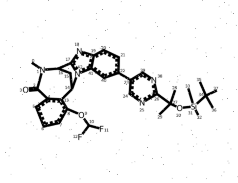 CN1C(=O)c2cccc(OC(F)F)c2C2CC1c1nc3ccc(-c4cnc(C(C)(C)O[Si](C)(C)C(C)(C)C)nc4)cc3n12